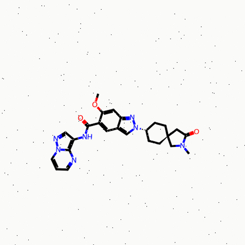 COc1cc2nn([C@H]3CC[C@@]4(CC3)CC(=O)N(C)C4)cc2cc1C(=O)Nc1cnn2cccnc12